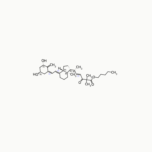 C=C1/C(=C\C=C2/CCC[C@]3(C)[C@@H]([C@H](C)/C=C/C(=O)C(C)(C)C(=O)OCCCCC)CC[C@@H]23)C[C@@H](O)C[C@@H]1O